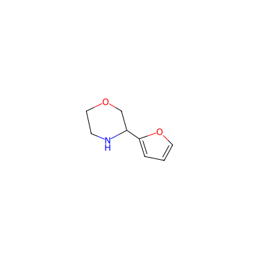 c1coc(C2COCCN2)c1